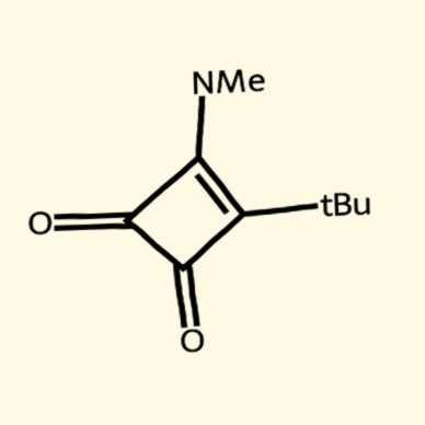 CNc1c(C(C)(C)C)c(=O)c1=O